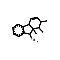 CC1C=CC2c3ccccc3C([SiH3])C2(C)C1C